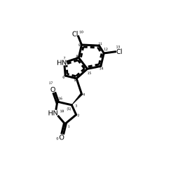 O=C1C[C@H](Cc2c[nH]c3c(Cl)cc(Cl)cc23)C(=O)N1